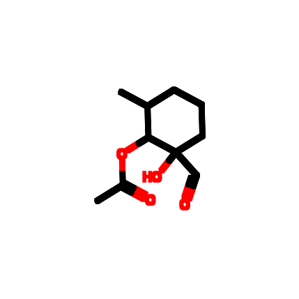 CC(=O)OC1C(C)CCCC1(O)C=O